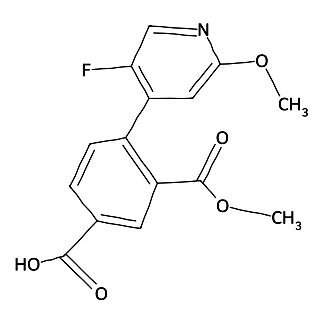 COC(=O)c1cc(C(=O)O)ccc1-c1cc(OC)ncc1F